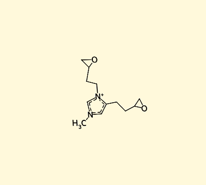 Cn1cc(CCC2CO2)[n+](CCC2CO2)c1